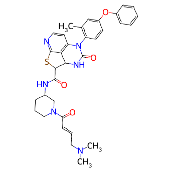 Cc1cc(Oc2ccccc2)ccc1N1C(=O)NC2c3c1ccnc3SC2C(=O)NC1CCCN(C(=O)C=CCN(C)C)C1